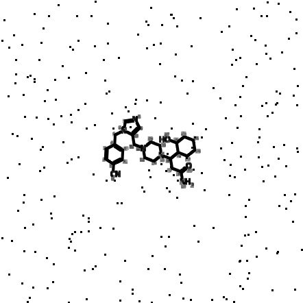 N#Cc1ccc(Cn2cncc2CN2CCN(C(CC(N)=O)C3CCCCC3O)CC2)cc1